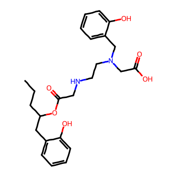 CCCC(Cc1ccccc1O)OC(=O)CNCCN(CC(=O)O)Cc1ccccc1O